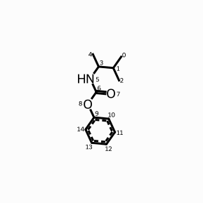 CC(C)C(C)NC(=O)Oc1ccccc1